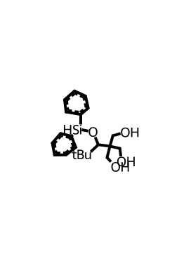 CC(C)(C)C(O[SiH](c1ccccc1)c1ccccc1)C(CO)(CO)CO